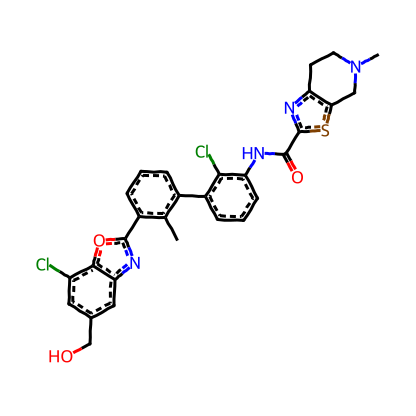 Cc1c(-c2nc3cc(CO)cc(Cl)c3o2)cccc1-c1cccc(NC(=O)c2nc3c(s2)CN(C)CC3)c1Cl